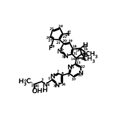 C[C@@H](O)CNc1ncc(-c2cncc([C@@]34CC[C@@H](c5cc(-c6c(F)cccc6F)nnc53)C4(C)C)n2)cn1